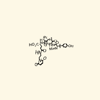 CNC(C(=O)NC(C(=O)N(C)[C@H](/C=C(\C)C(=O)N[C@H](CCC(=O)NCCN1C(=O)C=CC1=O)C(=O)O)C(C)C)C(C)(C)C)C(C)(C)c1ccc(O)cc1